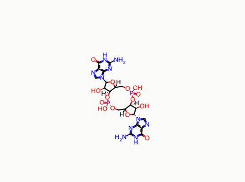 Nc1nc2c(ncn2C2O[C@@H]3COP(=O)(O)O[C@H]4[C@@H](O)[C@H](n5cnc6c(=O)[nH]c(N)nc65)O[C@@H]4COP(=O)(O)O[C@H]3[C@H]2O)c(=O)[nH]1